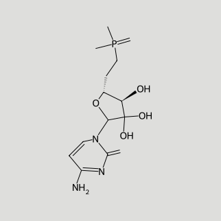 C=C1N=C(N)C=CN1C1O[C@H](CCP(=C)(C)C)[C@@H](O)C1(O)O